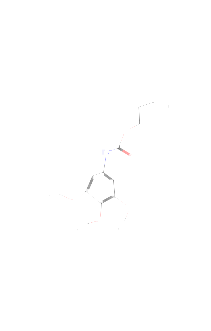 CCCOC(=O)Nc1cc(OC)c(OC)c(OC)c1